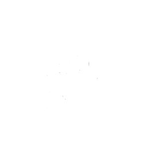 Cc1cccc2c(-c3ccccc3)nc(NC(=O)[C@H](CCC(F)(F)F)[C@H](CC3(F)CCC3)C(N)=O)c(=O)nc12